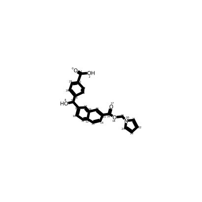 O=C(O)c1ccc(C(O)c2ccc3ccc(C(=O)OCn4cccc4)cc3c2)cc1